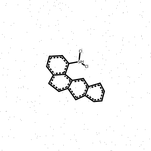 Cl[SiH](Cl)c1cccc2ccc3cc4ccccc4cc3c12